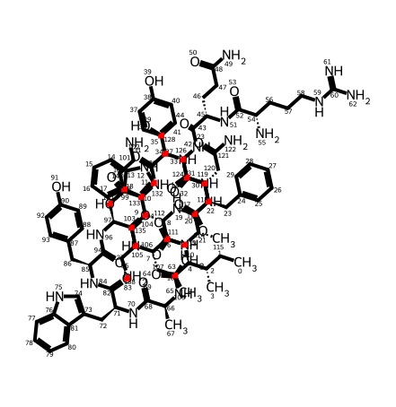 CC[C@H](C)[C@H](NC(=O)[C@H](Cc1c[nH]c2ccccc12)NC(=O)[C@H](Cc1ccccc1)NC(=O)[C@H](Cc1ccc(O)cc1)NC(=O)[C@H](CCC(N)=O)NC(=O)[C@@H](N)CCCNC(=N)N)C(=O)N[C@@H](C)C(=O)N[C@@H](Cc1c[nH]c2ccccc12)C(=O)N[C@@H](Cc1ccc(O)cc1)C(=O)N[C@@H](CCCCN)C(=O)N[C@@H](CC(C)C)C(=O)N[C@@H](C)C(=O)N[C@@H](CC(N)=O)C(=O)N[C@@H](CO)C(=O)N[C@@H](CCCCN)C(=O)O